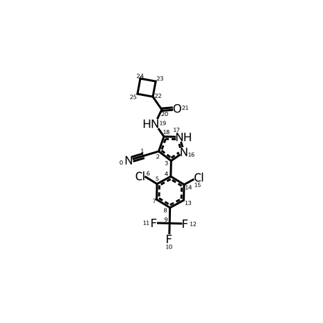 N#Cc1c(-c2c(Cl)cc(C(F)(F)F)cc2Cl)n[nH]c1NC(=O)C1CCC1